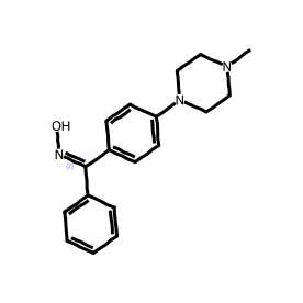 CN1CCN(c2ccc(/C(=N\O)c3ccccc3)cc2)CC1